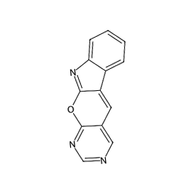 c1ccc2c3cc4cncnc4oc-3nc2c1